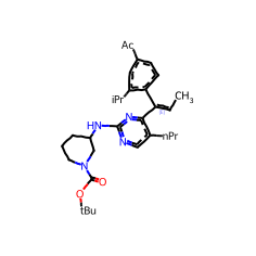 C/C=C(\c1ccc(C(C)=O)cc1C(C)C)c1nc(NC2CCCN(C(=O)OC(C)(C)C)C2)ncc1CCC